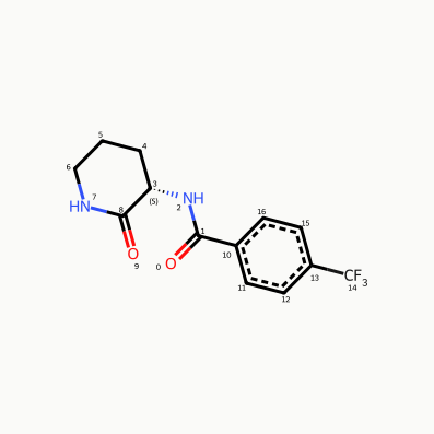 O=C(N[C@H]1CCCNC1=O)c1ccc(C(F)(F)F)cc1